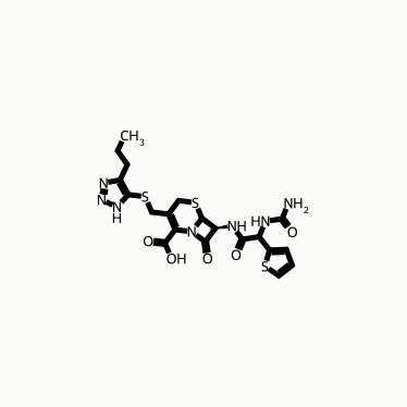 CCCc1nn[nH]c1SCC1=C(C(=O)O)N2C(=O)[C@H](NC(=O)C(NC(N)=O)c3cccs3)C2SC1